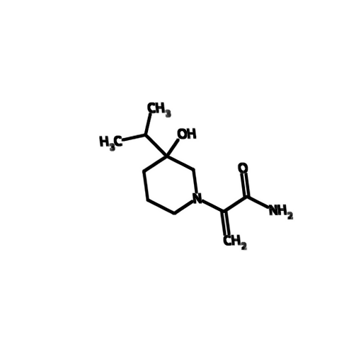 C=C(C(N)=O)N1CCCC(O)(C(C)C)C1